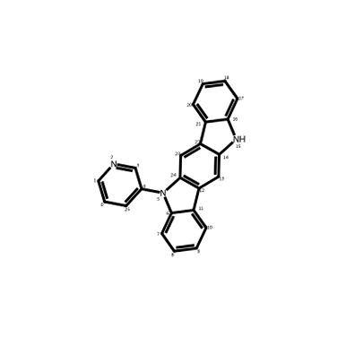 c1cncc(-n2c3ccccc3c3cc4[nH]c5ccccc5c4cc32)c1